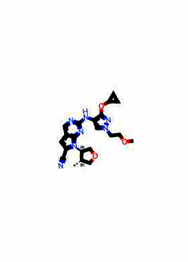 COCCn1cc(Nc2ncc3cc(C#N)n([C@H]4COC[C@@H]4C)c3n2)c(OC2CC2)n1